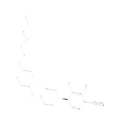 CCCCCCCCC1CCC(C(C)[C@H]2CC[C@H](c3ccc(C#N)c(F)c3F)CC2)CC1